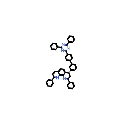 c1ccc(C2=Nc3c(ccc4ccc(-c5ccccc5)nc34)[C@@H](c3cccc(-c4ccc(-c5nc(-c6ccccc6)nc(-c6ccccc6)n5)cc4)c3)C2)cc1